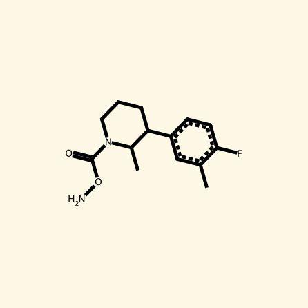 Cc1cc(C2CCCN(C(=O)ON)C2C)ccc1F